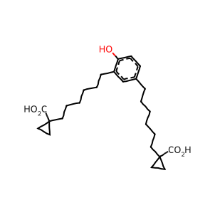 O=C(O)C1(CCCCCCc2ccc(O)c(CCCCCCC3(C(=O)O)CC3)c2)CC1